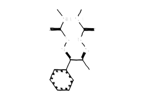 CNC(=S)N/N=C(C)\C(=N/NC(=S)NC)c1ccccc1